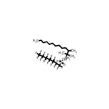 CCCCCCCCCCC(C)C(C)(C)N.O=S(=O)(O)C(F)(F)C(F)(F)C(F)(F)C(F)(F)C(F)(F)C(F)(F)C(F)(F)F